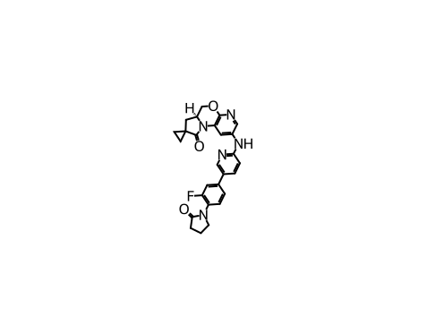 O=C1CCCN1c1ccc(-c2ccc(Nc3cnc4c(c3)N3C(=O)C5(CC5)C[C@H]3CO4)nc2)cc1F